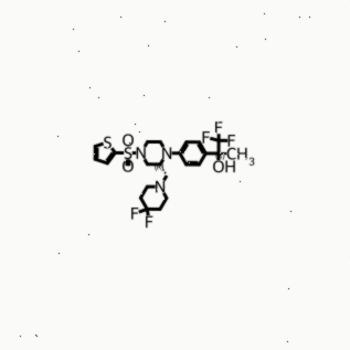 C[C@@](O)(c1ccc(N2CCN(S(=O)(=O)c3cccs3)C[C@H]2CN2CCC(F)(F)CC2)cc1)C(F)(F)F